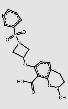 O=C(O)c1c(OC2CN(S(=O)(=O)c3cccnc3)C2)ccc2c1OB(O)CC2